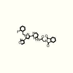 O=C(CN1C(=O)c2ccccc2C1=O)Nc1ccnc(-c2cc(-c3ccon3)n(Cc3ccccc3F)n2)n1